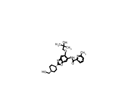 Cc1cccc(C(=O)Nc2cc3oc([C@H]4CC[C@H](CO)CC4)nc3cc2OCC(C)(C)O)n1